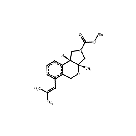 CC(C)=Cc1cccc2c1CO[C@@]1(C)CN(C(=O)OC(C)(C)C)C[C@@H]21